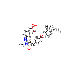 CCN1C(=O)C(=Cc2ccc(OCc3ccc(C(C)C)cc3)cc2)SC1=Nc1ccc(CC(=O)O)cc1